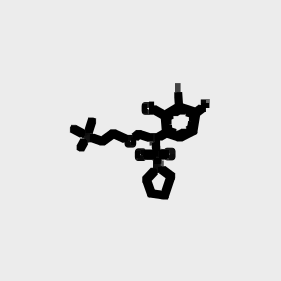 C[Si](C)(C)CCOCN(c1ccc(F)c(I)c1Cl)S(=O)(=O)N1CCCC1